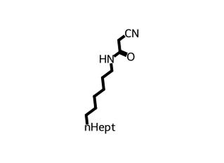 CCCCCCCCCCCCCNC(=O)CC#N